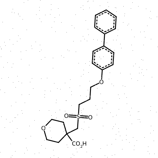 O=C(O)C1(CS(=O)(=O)CCCOc2ccc(-c3ccccc3)cc2)CCOCC1